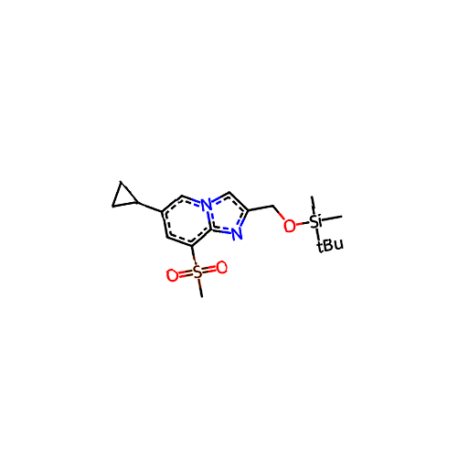 CC(C)(C)[Si](C)(C)OCc1cn2cc(C3CC3)cc(S(C)(=O)=O)c2n1